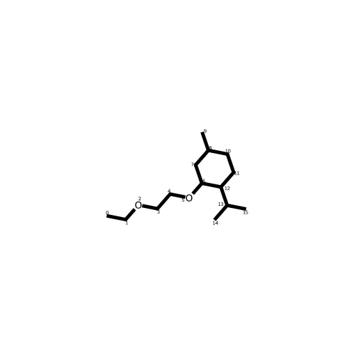 CCOCCOC1CC(C)CCC1C(C)C